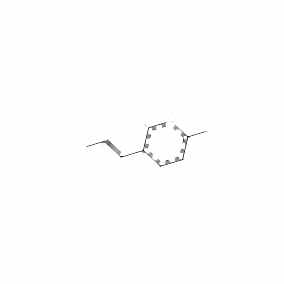 Cc1ccc(/C=C/C(=O)O)cn1